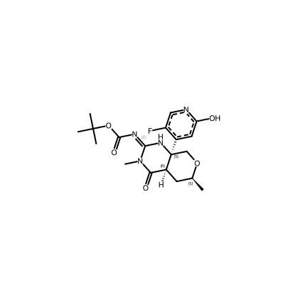 C[C@H]1C[C@H]2C(=O)N(C)/C(=N\C(=O)OC(C)(C)C)N[C@@]2(c2cc(O)ncc2F)CO1